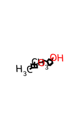 CC1CC2(C)C1C[C@@H]2COCc1cccc(O)c1